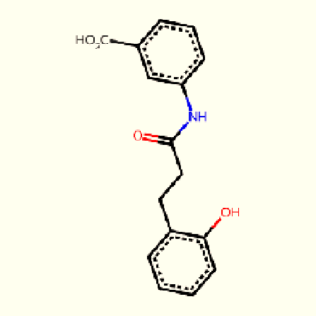 O=C(CCc1ccccc1O)Nc1cccc(C(=O)O)c1